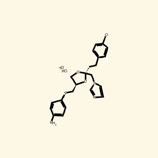 Cl.Cl.Nc1ccc(SC[C@H]2CO[C@@](CCc3ccc(Cl)cc3)(Cn3ccnc3)O2)cc1